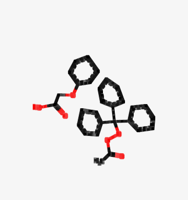 CC(=O)OOC(c1ccccc1)(c1ccccc1)c1ccccc1.O=C(O)COc1ccccc1